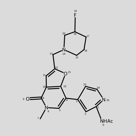 CC(=O)Nc1cc(-c2cn(C)c(=O)c3cc(CN4CCCC(F)C4)oc23)ccn1